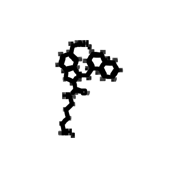 NCCCCNC(=O)C1Cc2ccc(CN)cc2N1Cc1cccc2ccccc12